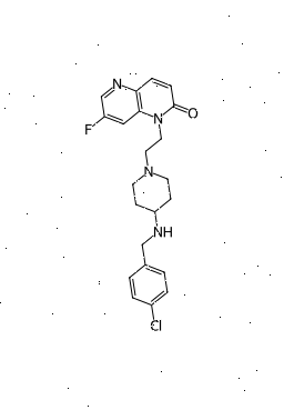 O=c1ccc2ncc(F)cc2n1CCN1CCC(NCc2ccc(Cl)cc2)CC1